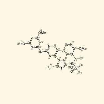 CCS(=O)(=O)NC(=O)c1cc(-c2cnc(Nc3cc(OC)cc(OC)c3)nc2-n2nc(C(F)(F)F)cc2C)cnc1OC